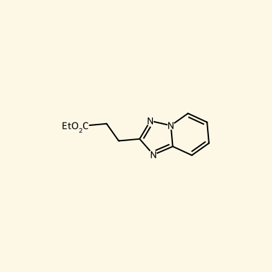 CCOC(=O)CCc1nc2ccccn2n1